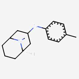 Cc1ccc(NC2CC3CCC[C@H](C2)N3C)cc1